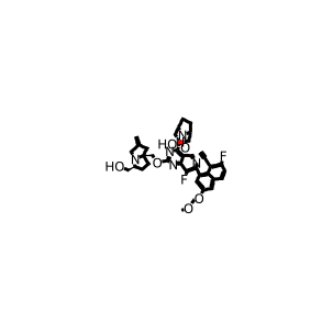 C#Cc1c(F)ccc2cc(OCOC)cc(-c3ncc4c(N5CC6CCC(C5)N6C(=O)O)nc(OC[C@@]56CC[C@@H](CO)N5CC(=C)C6)nc4c3F)c12